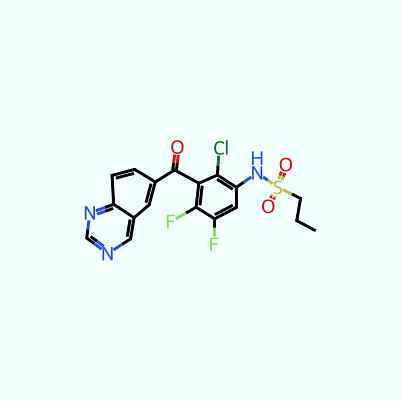 CCCS(=O)(=O)Nc1cc(F)c(F)c(C(=O)c2ccc3ncncc3c2)c1Cl